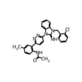 CC(=O)Nc1ccc(C)cc1-c1ccc(-n2c(=N)n(Cc3ccccc3Cl)c3ccccc32)nn1